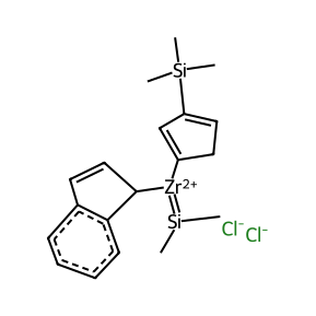 C[Si](C)=[Zr+2]([C]1=CC([Si](C)(C)C)=CC1)[CH]1C=Cc2ccccc21.[Cl-].[Cl-]